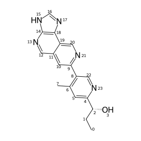 CC[C@@H](O)c1cc(C)c(-c2cc3cnc4[nH]cnc4c3cn2)cn1